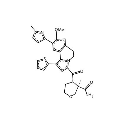 COc1cc2c(cc1-c1ccn(C)n1)-c1c(-c3cccs3)cc(C(=O)N3CCOC[C@]3(C)C(N)=O)n1CC2